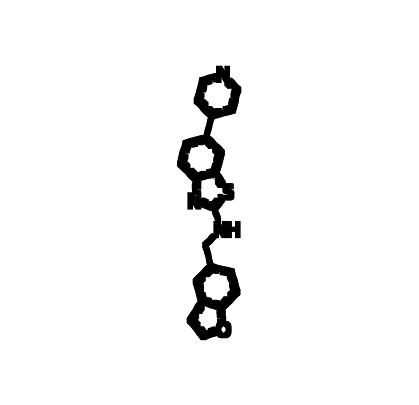 c1cc(-c2ccc3nc(NCc4ccc5occc5c4)sc3c2)ccn1